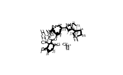 C[C@@H](Oc1cc(-c2cc3n(n2)CC[C@@]32CCNC2)cnc1N)c1c(Cl)ccc(F)c1Cl.[Cl-].[H+]